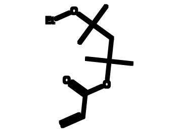 C=CC(=O)OC(C)(C)CC(C)(C)OCC